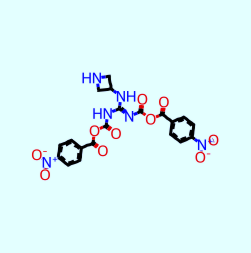 O=C(N=C(NC(=O)OC(=O)c1ccc([N+](=O)[O-])cc1)NC1CNC1)OC(=O)c1ccc([N+](=O)[O-])cc1